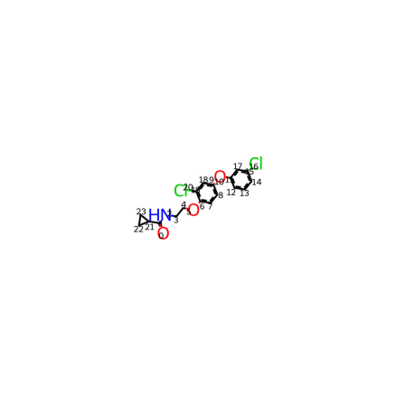 O=C(NCCOc1ccc(Oc2cccc(Cl)c2)cc1Cl)C1CC1